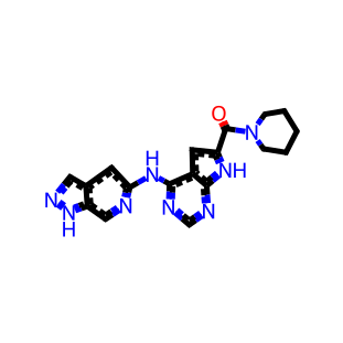 O=C(c1cc2c(Nc3cc4cn[nH]c4cn3)ncnc2[nH]1)N1CCCCC1